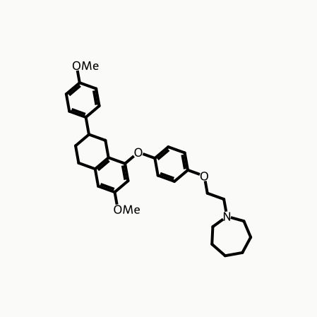 COc1ccc(C2CCc3cc(OC)cc(Oc4ccc(OCCN5CCCCCC5)cc4)c3C2)cc1